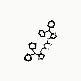 O=C(CC(=O)Oc1ccsc1C(c1ccccc1)c1ccccc1)Oc1ccsc1C(c1ccccc1)c1ccccc1